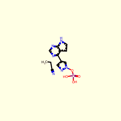 CCC#N.O=P(O)(O)On1cc(-c2ncnc3[nH]ccc23)cn1